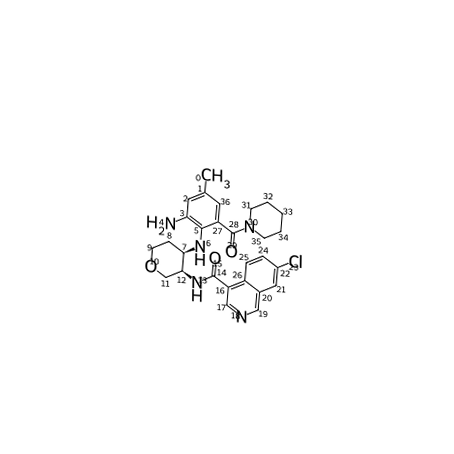 Cc1cc(N)c(N[C@@H]2CCOC[C@@H]2NC(=O)c2cncc3cc(Cl)ccc23)c(C(=O)N2CCCCC2)c1